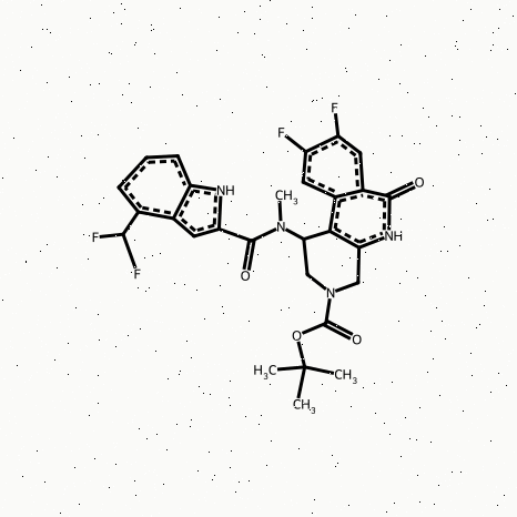 CN(C(=O)c1cc2c(C(F)F)cccc2[nH]1)C1CN(C(=O)OC(C)(C)C)Cc2[nH]c(=O)c3cc(F)c(F)cc3c21